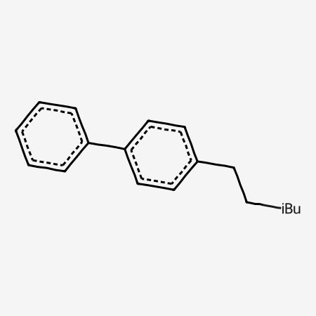 CCC(C)CCc1ccc(-c2ccccc2)cc1